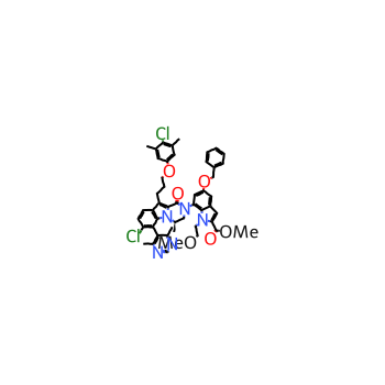 COCCn1c(C(=O)OC)cc2cc(OCc3ccccc3)cc(N3C[C@@H](C)n4c(c(CCCOc5cc(C)c(Cl)c(C)c5)c5ccc(Cl)c(-c6c(C)ncnc6C)c54)C3=O)c21